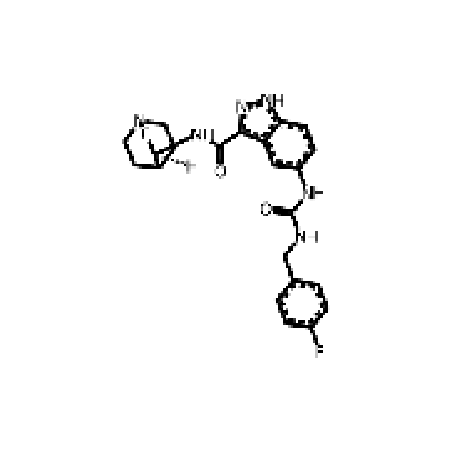 O=C(NCc1ccc(F)cc1)Nc1ccc2[nH]nc(C(=O)N[C@@H]3CN4CCC3CC4)c2c1